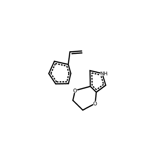 C=Cc1ccccc1.c1[nH]cc2c1OCCO2